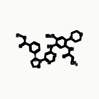 C=CC(=O)Nc1cc(Nc2cc(N3OCC[C@@H]3c3cccc(C(=O)OC(C)C)c3)ncn2)c(OC)cc1N1CCOCC1